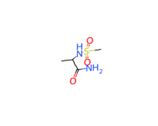 CC(NS(C)(=O)=O)C(N)=O